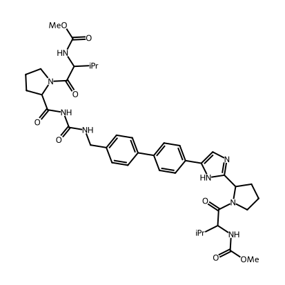 COC(=O)NC(C(=O)N1CCCC1C(=O)NC(=O)NCc1ccc(-c2ccc(-c3cnc(C4CCCN4C(=O)C(NC(=O)OC)C(C)C)[nH]3)cc2)cc1)C(C)C